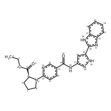 CCOC(=O)[C@@H]1CCCN1c1ccc(C(=O)Nc2cc(-c3nc4ccccc4[nH]3)[nH]n2)cn1